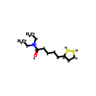 CCN(CC)C(=O)CCCCC1CCSS1